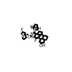 CCC1CCCc2cc(O)cc(-c3c4c(c5c(N6C[C@H]7CC[C@@H](C6)N7)nc(OC[C@@]67CCCN6C[C@H](F)C7)nc5c3F)CCC4)c21